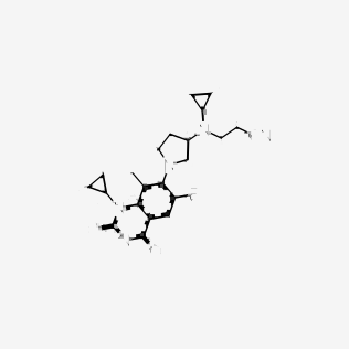 Cc1c(N2CCC(N(CCC#N)C3CC3)C2)c(F)cc2c(=O)[nH]c(=O)n(C3CC3)c12